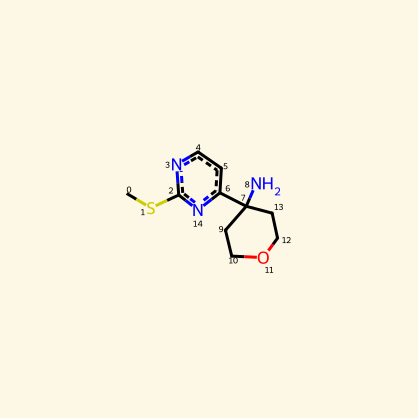 CSc1nccc(C2(N)CCOCC2)n1